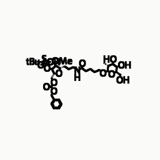 CO[C@H]1C(OP(O)(=S)OC(C)(C)C)[C@@H](COC(=O)OCc2ccccc2)O[C@H]1CCCNC(=O)CCCCO[C@@H]1O[C@H](CO)[C@H](O)[C@H](O)[C@H]1C